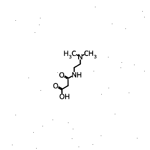 CN(C)CCNC(=O)CC(=O)O